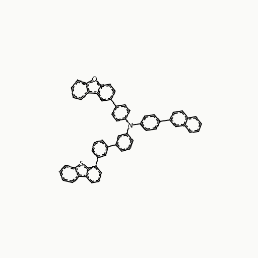 c1cc(-c2cccc(N(c3ccc(-c4ccc5ccccc5c4)cc3)c3ccc(-c4ccc5oc6ccccc6c5c4)cc3)c2)cc(-c2cccc3c2sc2ccccc23)c1